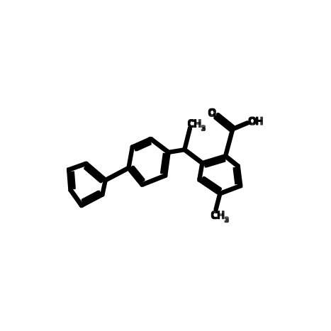 Cc1ccc(C(=O)O)c(C(C)c2ccc(-c3ccccc3)cc2)c1